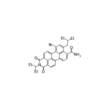 CCC(CC)Cc1cc(Br)c2c3ccc4c5c(ccc(c6ccc(C(N)=O)c1c62)c53)C(=O)N(C(CC)CC)C4=O